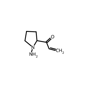 C=CC(=O)C1CCCN1N